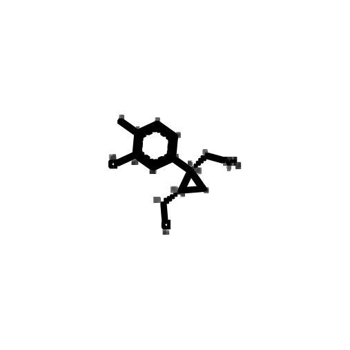 Cc1ccc([C@@]2(CN)C[C@@H]2CCl)cc1Cl